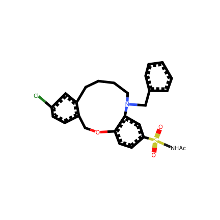 CC(=O)NS(=O)(=O)c1ccc2c(c1)N(Cc1ccccc1)CCCCc1cc(Cl)ccc1CO2